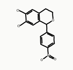 O=[N+]([O-])c1ccc(C2OCCc3cc(Cl)c(Cl)cc32)cc1